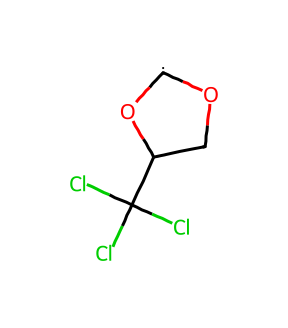 ClC(Cl)(Cl)C1CO[CH]O1